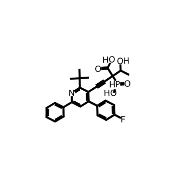 CC(O)C(C#Cc1c(-c2ccc(F)cc2)cc(-c2ccccc2)nc1C(C)(C)C)(C(=O)O)[PH](=O)O